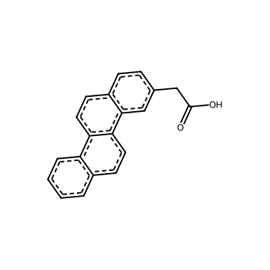 O=C(O)Cc1ccc2ccc3c4ccccc4ccc3c2c1